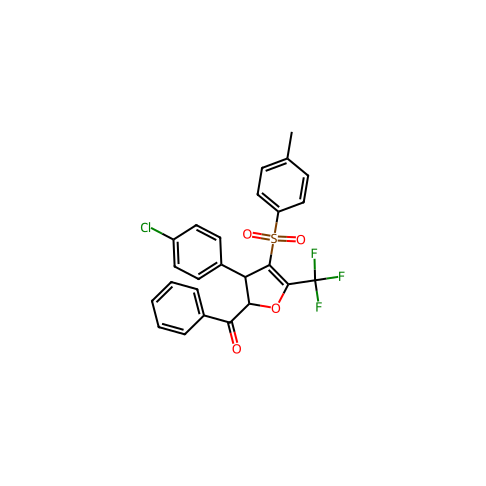 Cc1ccc(S(=O)(=O)C2=C(C(F)(F)F)OC(C(=O)c3ccccc3)C2c2ccc(Cl)cc2)cc1